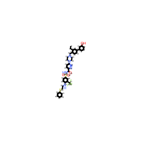 CCc1cc(-c2cccc(O)c2)ccc1CN1CCN(c2ccc(C(=O)NS(=O)(=O)c3ccc(NCCSc4ccccc4)c(C(F)(F)F)c3)nn2)CC1